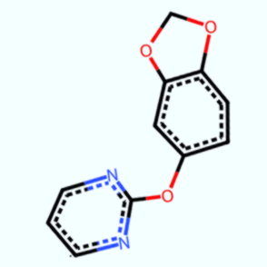 [c]1ccnc(Oc2ccc3c(c2)OCO3)n1